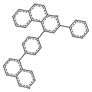 c1ccc(-c2cc(-c3ccc(-c4cccc5cnccc45)cc3)c3c(ccc4ccccc43)n2)cc1